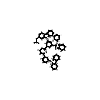 CC(C)Cc1ccc2c3ccccc3n(-c3cc(-c4cccc(-c5cccc(-n6c7ccccc7c7ccccc76)c5)n4)cc(-c4nc5ccccc5n4-c4ccccc4)c3)c2c1